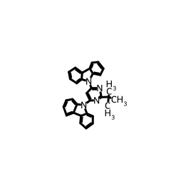 CC(C)(C)c1nc(-n2c3ccccc3c3ccccc32)cc(-n2c3ccccc3c3ccccc32)n1